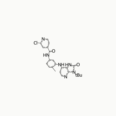 Cc1ccc(NC(=O)c2ccnc(Cl)c2)cc1Nc1ccnc2c1[nH]c(=O)n2C(C)(C)C